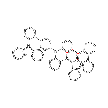 c1cc(-c2cc3ccccc3c3ccccc23)cc(N(c2ccc(-c3ccccc3-n3c4ccccc4c4ccccc43)cc2)c2ccccc2-c2cccc3oc4ccccc4c23)c1